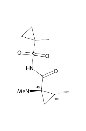 CN[C@]1(C(=O)NS(=O)(=O)C2(C)CC2)C[C@H]1C